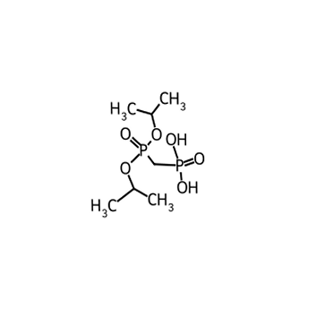 CC(C)OP(=O)(CP(=O)(O)O)OC(C)C